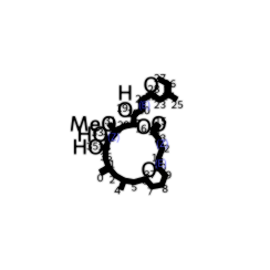 C=C1CC(C)CC2CCC/C(=C\C=C/C(=O)OC(C(O)/C=C/C3CC(C)=CCO3)C/C(OC)=C(/O)C(O)C1)O2